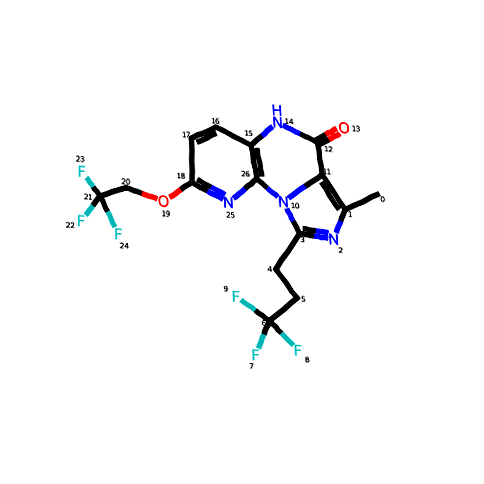 Cc1nc(CCC(F)(F)F)n2c1c(=O)[nH]c1ccc(OCC(F)(F)F)nc12